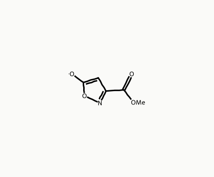 COC(=O)c1cc([O])on1